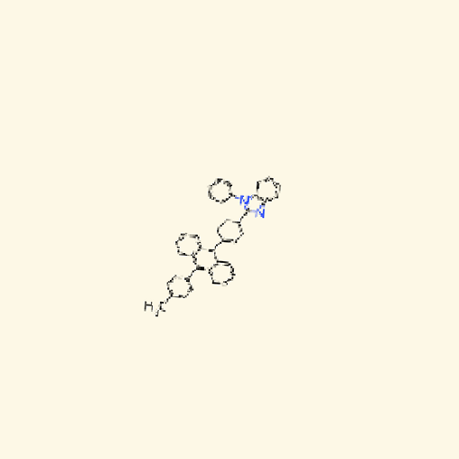 Cc1ccc(-c2c3ccccc3c(C3=CC=C(c4nc5ccccc5n4-c4ccccc4)CC3)c3ccccc23)cc1